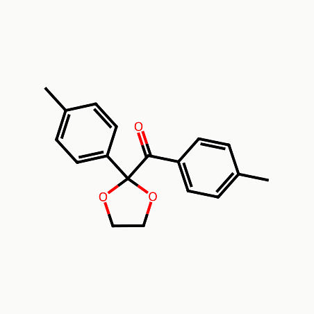 Cc1ccc(C(=O)C2(c3ccc(C)cc3)OCCO2)cc1